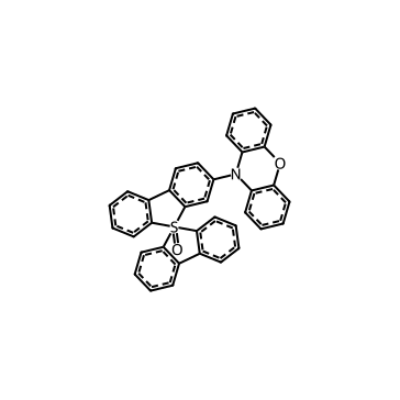 O=S12(c3ccccc3-c3ccccc31)c1ccccc1-c1ccc(N3c4ccccc4Oc4ccccc43)cc12